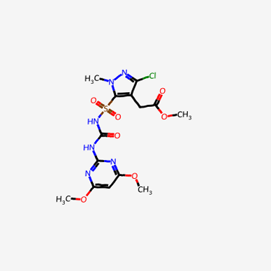 COC(=O)Cc1c(Cl)nn(C)c1S(=O)(=O)NC(=O)Nc1nc(OC)cc(OC)n1